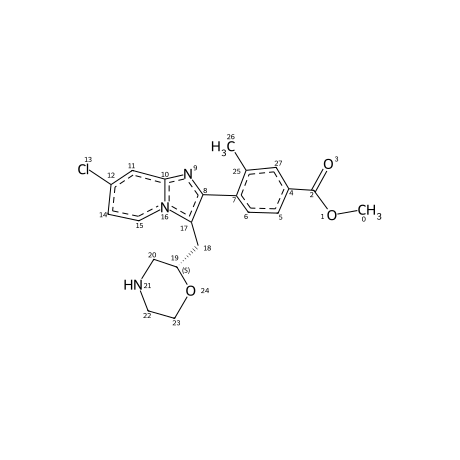 COC(=O)c1ccc(-c2nc3cc(Cl)ccn3c2C[C@H]2CNCCO2)c(C)c1